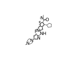 CN1CCN(c2cnc(Nc3cc4c(C5CCCC5)c(C(=O)N(C)C)sc4cn3)c(F)c2)CC1